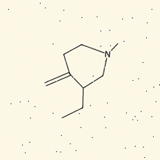 C=C1CCN(C)CC1CC